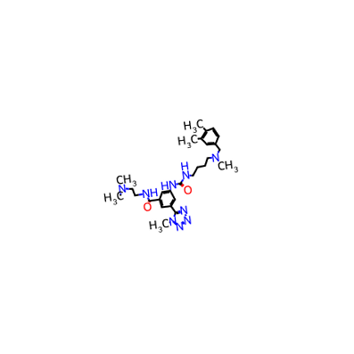 Cc1ccc(CN(C)CCCCNC(=O)Nc2cc(C(=O)NCCN(C)C)cc(-c3nnnn3C)c2)cc1C